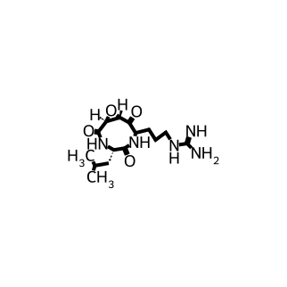 CC(C)C[C@@H]1NC(=O)[C@H]2O[C@@H]2C(=O)C(CCCNC(=N)N)NC1=O